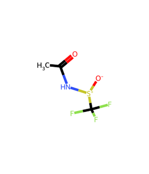 CC(=O)N[S+]([O-])C(F)(F)F